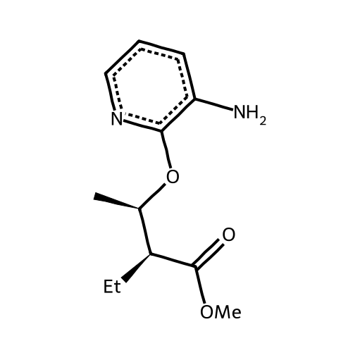 CC[C@H](C(=O)OC)[C@@H](C)Oc1ncccc1N